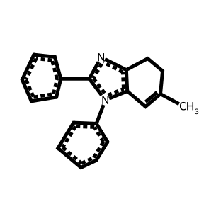 CC1=Cc2c(nc(-c3ccccc3)n2-c2ccccc2)CC1